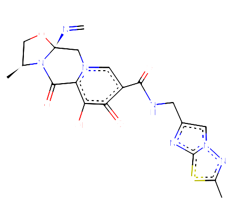 C=N[C@@]12Cn3cc(C(=O)NCc4cn5nc(C)sc5n4)c(=O)c(O)c3C(=O)N1[C@@H](C)CO2